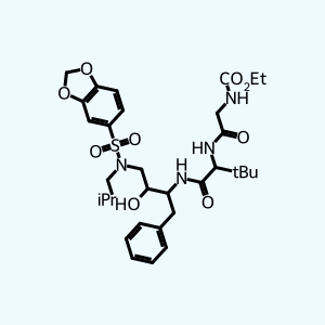 CCOC(=O)NCC(=O)NC(C(=O)NC(Cc1ccccc1)C(O)CN(CC(C)C)S(=O)(=O)c1ccc2c(c1)OCO2)C(C)(C)C